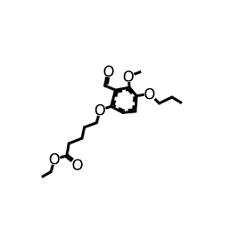 CCCOc1ccc(OCCCCC(=O)OCC)c(C=O)c1OC